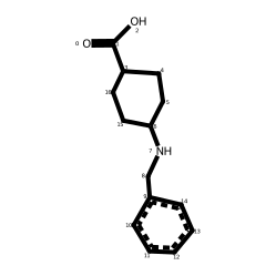 O=C(O)C1CCC(NCc2ccccc2)CC1